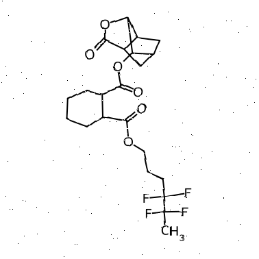 CC(F)(F)C(F)(F)CCCOC(=O)C1CCCCC1C(=O)OC1C2CC3C(=O)OC1C3C2